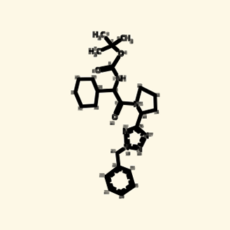 CC(C)(C)OC(=O)NC(C(=O)N1CCCC1c1nnn(Cc2ccccc2)n1)C1CCCCC1